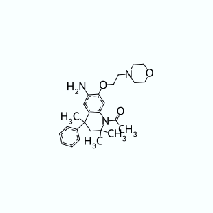 CC(=O)N1c2cc(OCCN3CCOCC3)c(N)cc2C(C)(c2ccccc2)CC1(C)C